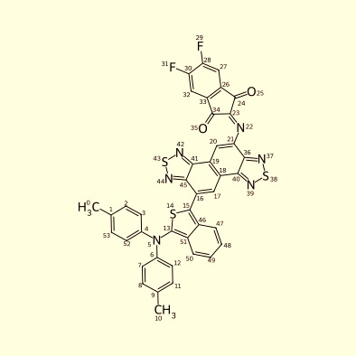 Cc1ccc(N(c2ccc(C)cc2)c2sc(-c3cc4c(cc(N=c5c(=O)c6cc(F)c(F)cc6c5=O)c5nsnc54)c4nsnc34)c3ccccc23)cc1